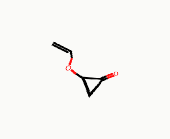 C=COC1CC1=O